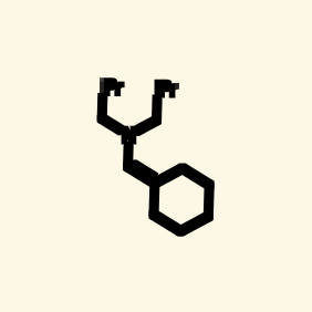 CC(C)CN(C=C1CCCCC1)CC(C)C